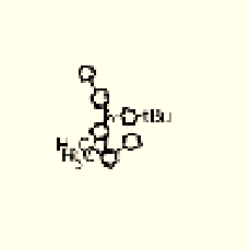 CC(C)(C)c1ccc(N(c2ccc(-c3ccccc3)cc2)c2ccc3c(c2)-c2c(-c4ccccc4)cccc2C3(C)C)cc1